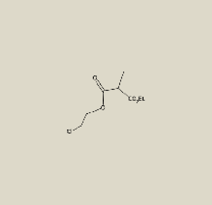 CCOC(=O)[C](C)C(=O)OCCCl